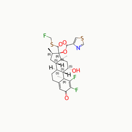 C[C@@H]1C[C@H]2[C@@H]3CCC4=CC(=O)C(F)=C(F)[C@]4(C)[C@H]3[C@@H](O)C[C@]2(C)[C@@]1(OC(=O)c1cscn1)C(=O)SCF